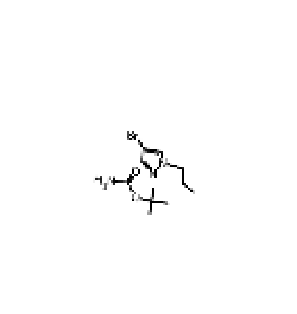 CC(C)(C)OC(N)=O.CCCn1cc(Br)cn1